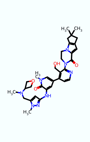 CN(Cc1cc(Nc2cc(-c3ccnc(N4CCn5c(cc6c5CC(C)(C)C6)C4=O)c3CO)cn(C)c2=O)nn1C)C1COC1